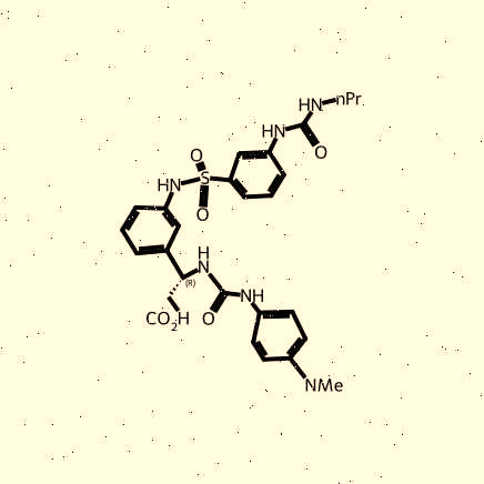 CCCNC(=O)Nc1cccc(S(=O)(=O)Nc2cccc([C@@H](CC(=O)O)NC(=O)Nc3ccc(NC)cc3)c2)c1